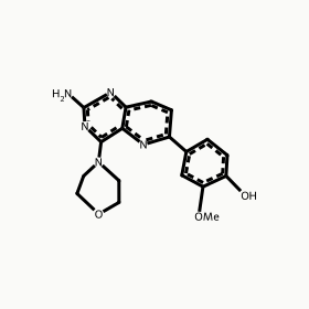 COc1cc(-c2ccc3nc(N)nc(N4CCOCC4)c3n2)ccc1O